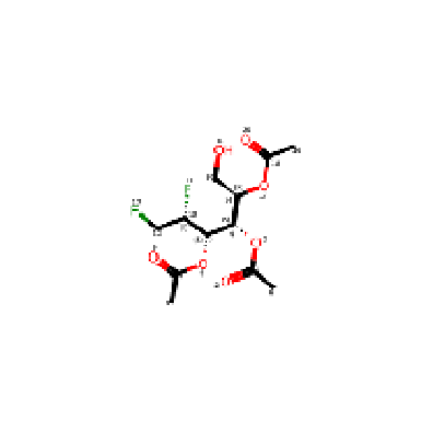 CC(=O)O[C@H]([C@H](OC(C)=O)[C@@H](F)CF)[C@@H](CO)OC(C)=O